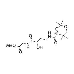 COC(=O)CNC(=O)C(O)CCNC(=O)[C@@H]1OC(C)(C)OCC1(C)C